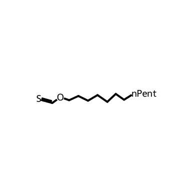 CCCCCCCCCCCCOC=S